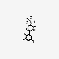 CC(NC(=O)c1cc(I)cc(I)c1I)C(=O)NS(C)(=O)=O